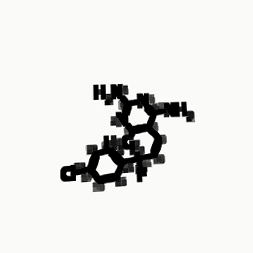 Cc1nc(N)nc(N)c1/C=C\C(F)(F)c1ccc(Cl)cc1